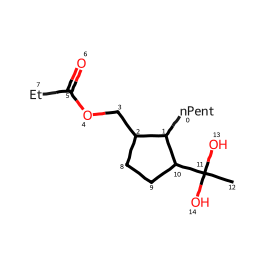 CCCCCC1C(COC(=O)CC)CCC1C(C)(O)O